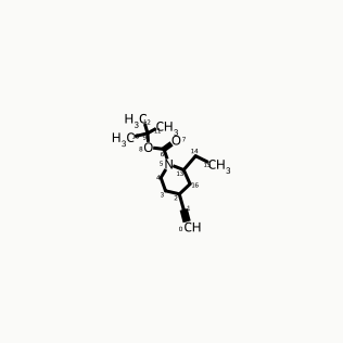 C#CC1CCN(C(=O)OC(C)(C)C)C(CC)C1